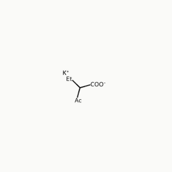 CCC(C(C)=O)C(=O)[O-].[K+]